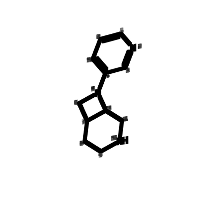 c1cncc(N2CC3CCNCC32)c1